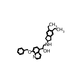 CCc1cc2c(cc1CC)CC(NCC(O)c1ccc(OCc3ccccc3)c3ncccc13)C2